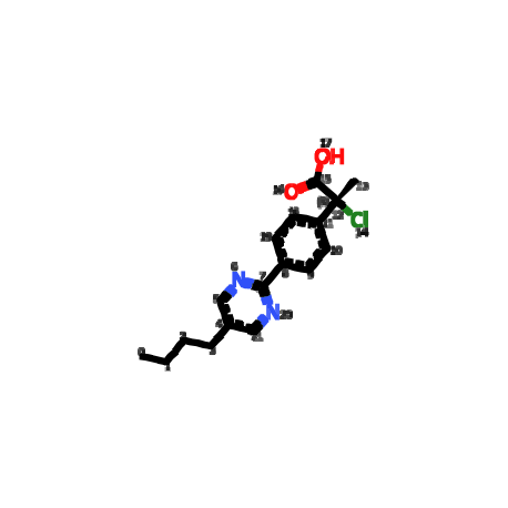 CCCCc1cnc(-c2ccc([C@@](C)(Cl)C(=O)O)cc2)nc1